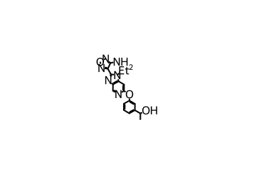 CCn1c(-c2nonc2N)nc2cnc(Oc3cccc(C(C)O)c3)cc21